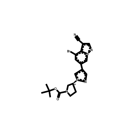 CC(C)(C)OC(=O)N1CC[C@H](n2cc(-c3cc(Br)c4c(C#N)cnn4c3)cn2)C1